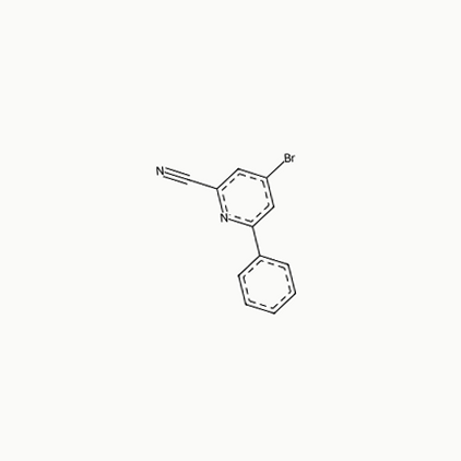 N#Cc1cc(Br)cc(-c2ccccc2)n1